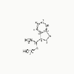 NC(CC(=O)O)C1CCc2ccccc21